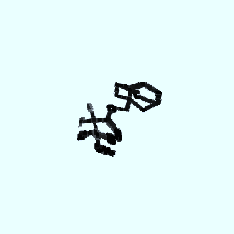 COS(=O)(=O)C(F)(F)C(=O)OCC12CC3CC=C1C(C3)C2